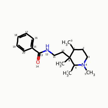 CC1CCN(C)C(C)C1(C)CCNC(=O)c1ccccc1